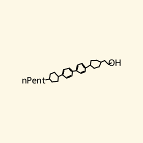 CCCCCC1CCC(c2ccc(-c3ccc(C4CCC(CCO)CC4)cc3)cc2)CC1